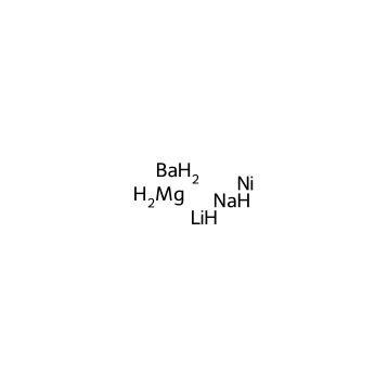 [BaH2].[LiH].[MgH2].[NaH].[Ni]